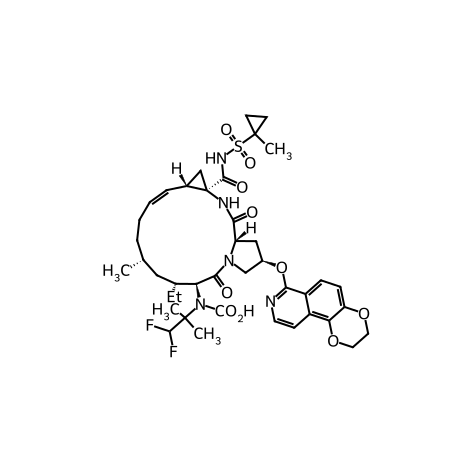 CC[C@@H]1C[C@H](C)CCC=C[C@@H]2C[C@@]2(C(=O)NS(=O)(=O)C2(C)CC2)NC(=O)[C@@H]2C[C@@H](Oc3nccc4c5c(ccc34)OCCO5)CN2C(=O)[C@H]1N(C(=O)O)C(C)(C)C(F)F